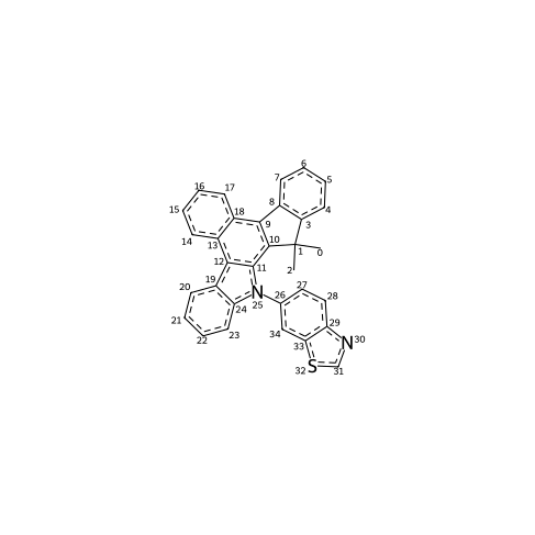 CC1(C)c2ccccc2-c2c1c1c(c3ccccc23)c2ccccc2n1-c1ccc2ncsc2c1